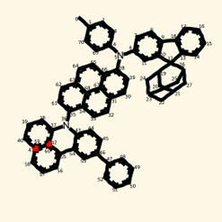 Cc1ccc(N(c2ccc3c(c2)C2(c4ccccc4-3)C3CC4CC(C3)CC2C4)c2ccc3ccc4c(N(c5ccccc5)c5ccc(-c6ccccc6)cc5-c5ccccc5)ccc5ccc2c3c54)cc1